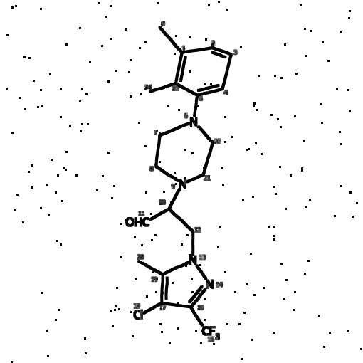 Cc1cccc(N2CCN(C(C=O)Cn3nc(C(F)(F)F)c(Cl)c3C)CC2)c1C